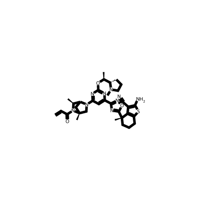 C=CC(=O)N1[C@@H](C)C2C[C@]1(C)CN2c1cc(-c2noc([C@@]3(C)CCCc4sc(N)c(C#N)c43)n2)nc(O[C@@H](C)[C@@H]2CCCN2C)n1